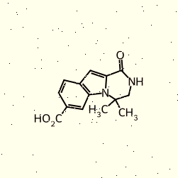 CC1(C)CNC(=O)c2cc3ccc(C(=O)O)cc3n21